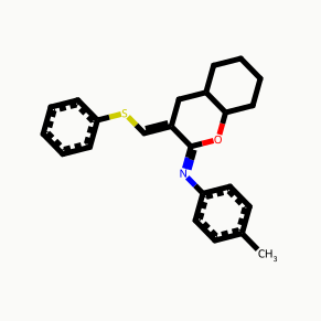 Cc1ccc(/N=C2\OC3CCCCC3C\C2=C/Sc2ccccc2)cc1